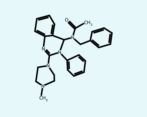 CC(=O)N(Cc1ccccc1)C1c2ccccc2N=C(N2CCN(C)CC2)N1c1ccccc1